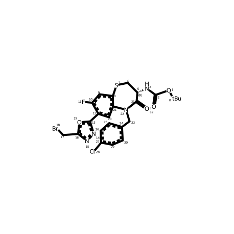 CC(C)(C)OC(=O)N[C@H]1CSc2cc(F)c(-c3nnc(CBr)o3)cc2N(Cc2ccc(Cl)cc2)C1=O